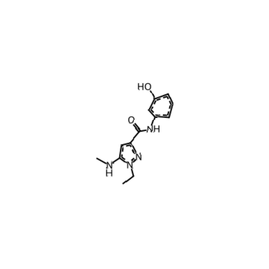 CCn1nc(C(=O)Nc2cccc(O)c2)cc1NC